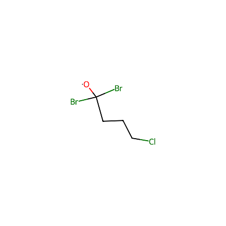 [O]C(Br)(Br)CCCCl